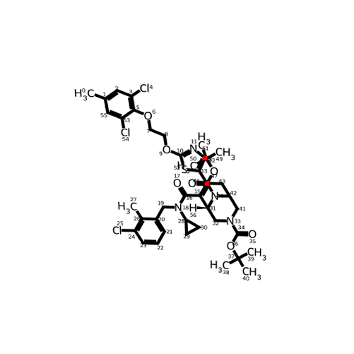 Cc1cc(Cl)c(OCCOc2ncc(C3=C(C(=O)N(Cc4cccc(Cl)c4C)C4CC4)[C@H]4CN(C(=O)OC(C)(C)C)CC(C3)N4C(=O)OC(C)(C)C)s2)c(Cl)c1